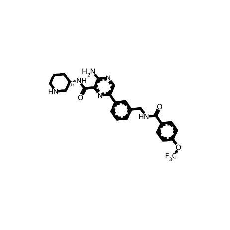 Nc1ncc(-c2cccc(CNC(=O)c3ccc(OC(F)(F)F)cc3)c2)nc1C(=O)N[C@H]1CCCNC1